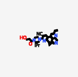 C=Cc1cc(-c2cc(C#N)c(N3CCN(C(=O)CCO)[C@H](C(C)C)C3)nc2C2CC2)c2ccncc2n1